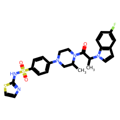 CC1CN(c2ccc(S(=O)(=O)Nc3nccs3)cc2)CCN1C(=O)C(C)n1ccc2cc(F)ccc21